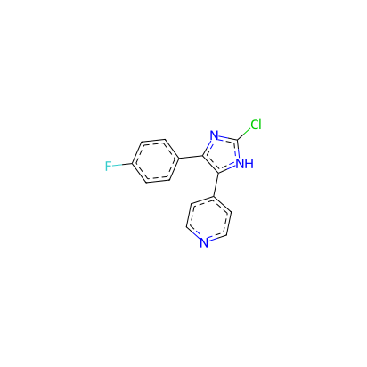 Fc1ccc(-c2nc(Cl)[nH]c2-c2ccncc2)cc1